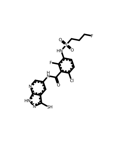 O=C(Nc1cnc2[nH]nc(S)c2c1)c1c(Cl)ccc(NS(=O)(=O)CCCF)c1F